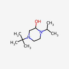 CC(C)N1CCN(C(C)(C)C)CC1O